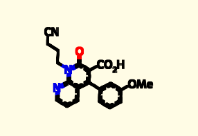 COc1cccc(-c2c(C(=O)O)c(=O)n(CCCC#N)c3ncccc23)c1